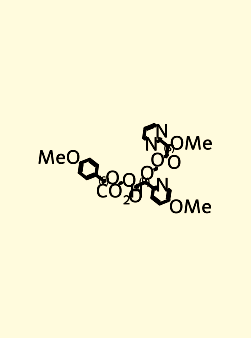 COc1ccc([C@H](OCOC(=O)[C@H](OCOC(=O)[C@@H](OC)c2ncccn2)c2ccc(OC)cn2)C(=O)O)cc1